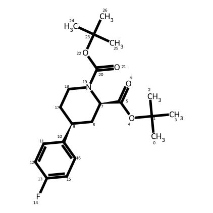 CC(C)(C)OC(=O)[C@H]1C[C@@H](c2ccc(F)cc2)CCN1C(=O)OC(C)(C)C